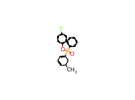 CC1C=CC=C(P(=O)(Oc2ccc(F)cc2)c2ccccc2)C1